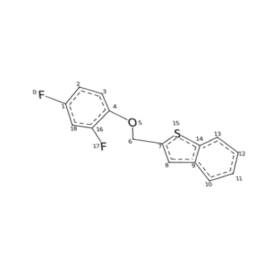 Fc1ccc(OCc2cc3ccccc3s2)c(F)c1